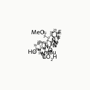 COCCCCc1c(C(=O)N(CC(C)C)[C@H]2C[C@@H](C(C)O)CN(C(=O)O)C2C(C)(C)C)nnn1-c1cccc(F)c1F